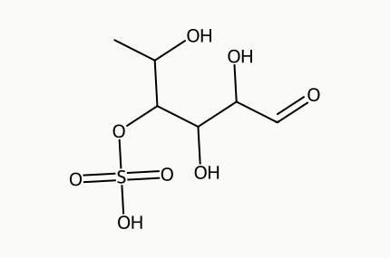 CC(O)C(OS(=O)(=O)O)C(O)C(O)C=O